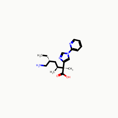 CC[C@@H](CN)C[C@H](C)[C@](C)(C(=O)O)c1cn(-c2ccccn2)cn1